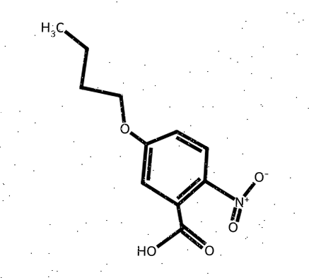 CCCCOc1ccc([N+](=O)[O-])c(C(=O)O)c1